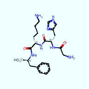 NCCCC[C@H](NC(=O)[C@H](Cc1c[nH]cn1)NC(=O)CN)C(=O)N[C@@H](Cc1ccccc1)C(=O)O